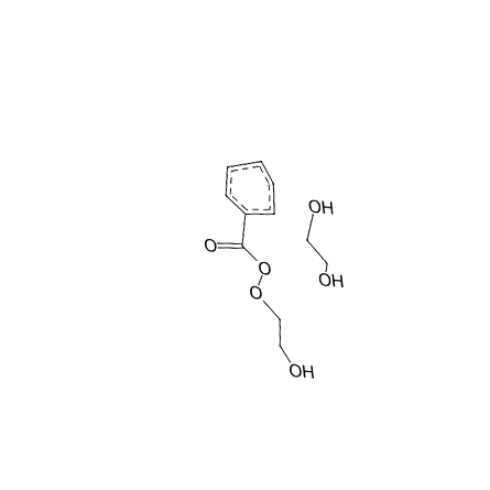 O=C(OOCCO)c1ccccc1.OCCO